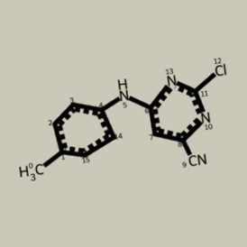 Cc1ccc(Nc2cc(C#N)nc(Cl)n2)cc1